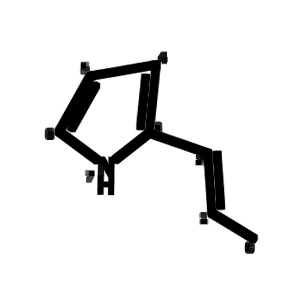 C/C=C/c1ccc[nH]1